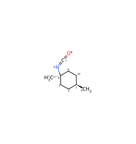 C[C@H]1CC[C@@](C)(N=C=O)CC1